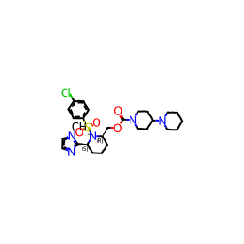 Cn1ccnc1[C@@H]1CCC[C@H](COC(=O)N2CCC(N3CCCCC3)CC2)N1S(=O)(=O)c1ccc(Cl)cc1